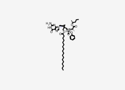 CCCCCCCCCCCCCCCCCC(=O)OCC1(CO[P@@](=O)(N[C@@H](C)C(=O)O[C@@H](C)CCC)Oc2ccccc2)C/C1=C/n1cnc2c(=O)[nH]c(N)nc21